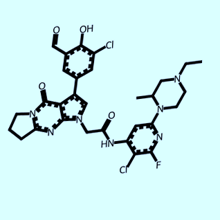 CCN1CCN(c2cc(NC(=O)Cn3cc(-c4cc(Cl)c(O)c(C=O)c4)c4c(=O)n5c(nc43)CCC5)c(Cl)c(F)n2)C(C)C1